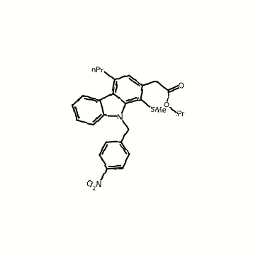 CCCc1cc(CC(=O)OC(C)C)c(SC)c2c1c1ccccc1n2Cc1ccc([N+](=O)[O-])cc1